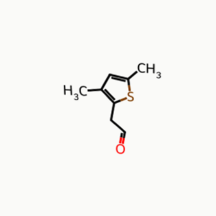 Cc1cc(C)c(CC=O)s1